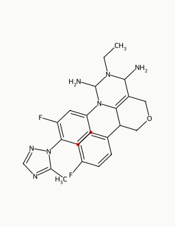 CCN1C(N)C2=C(C(c3ccc(F)cc3)COC2)N(c2ccc(-n3ncnc3C)c(F)c2)C1N